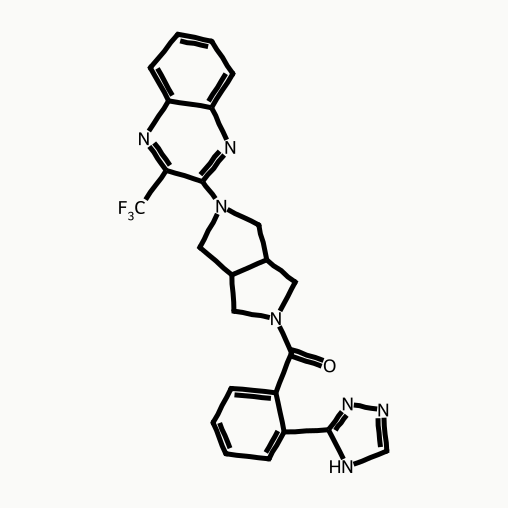 O=C(c1ccccc1-c1nnc[nH]1)N1CC2CN(c3nc4ccccc4nc3C(F)(F)F)CC2C1